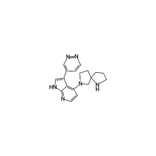 c1cc(-c2c[nH]c3nccc(N4CCC5(CCCN5)C4)c23)cnn1